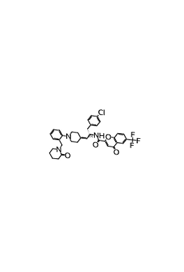 O=C(N[C@H](C=C1CCN(c2ccccc2CN2CCCCC2=O)CC1)Cc1ccc(Cl)cc1)c1cc(=O)c2cc(C(F)(F)F)ccc2o1